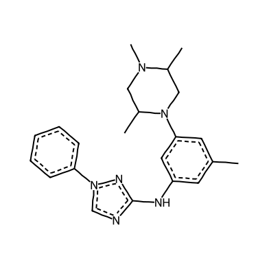 Cc1cc(Nc2ncn(-c3ccccc3)n2)cc(N2CC(C)N(C)CC2C)c1